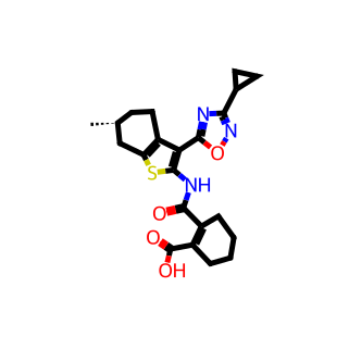 C[C@@H]1CCc2c(sc(NC(=O)C3=C(C(=O)O)CCCC3)c2-c2nc(C3CC3)no2)C1